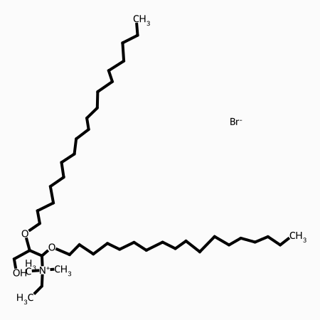 CCCCCCCCCCCCCCCCCCOC(CO)C(OCCCCCCCCCCCCCCCCCC)[N+](C)(C)CC.[Br-]